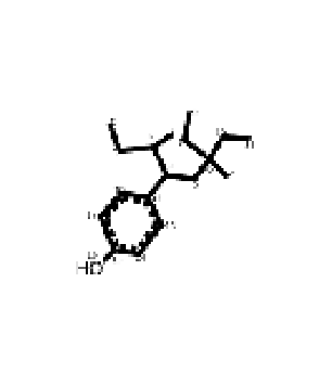 CCC(C)C(CC(C)(CC)CC)c1ccc(O)cc1